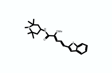 CO/C(=C\C=C\c1cc2ccccc2s1)C(=O)NC1CC(C)(C)N(C)C(C)(C)C1